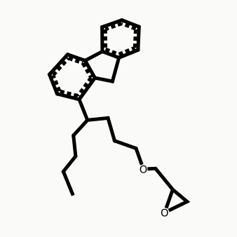 CCCCC(CCCOCC1CO1)c1cccc2c1Cc1ccccc1-2